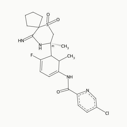 CC1C(NC(=O)c2ccc(Cl)cn2)=CC=C(F)C1[C@]1(C)CS(=O)(=O)C2(CCCC2)C(=N)N1